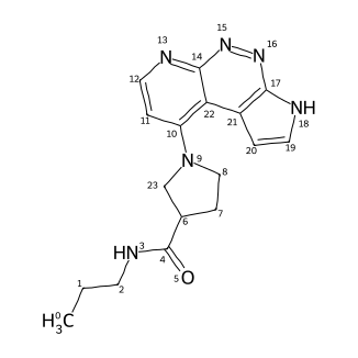 CCCNC(=O)C1CCN(c2ccnc3nnc4[nH]ccc4c23)C1